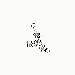 CC1(C)OC2COC3(COS(=O)(=O)NC(=O)OCc4ccccc4)OC(C)(C)OC3C2O1